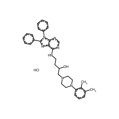 Cc1cccc(N2CCN(CC(O)CCNc3ncnc4c3nc(-c3ccccc3)n4-c3ccccc3)CC2)c1C.Cl